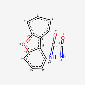 N=C=O.N=C=O.c1ccc2c(c1)oc1ccccc12